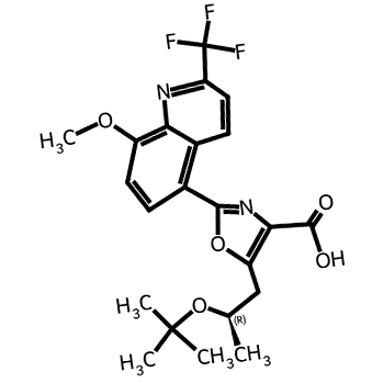 COc1ccc(-c2nc(C(=O)O)c(C[C@@H](C)OC(C)(C)C)o2)c2ccc(C(F)(F)F)nc12